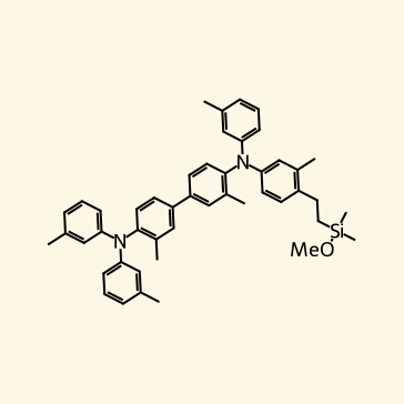 CO[Si](C)(C)CCc1ccc(N(c2cccc(C)c2)c2ccc(-c3ccc(N(c4cccc(C)c4)c4cccc(C)c4)c(C)c3)cc2C)cc1C